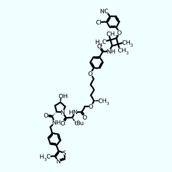 Cc1ncsc1-c1ccc(CNC(=O)[C@@H]2C[C@@H](O)CN2C(=O)[C@@H](NC(=O)CO[C@H](C)CCCCOc2ccc(C(=O)NC3C(C)(C)C(Oc4ccc(C#N)c(Cl)c4)C3(C)C)cc2)C(C)(C)C)cc1